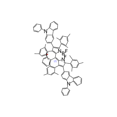 Cc1cc(C)c(C2=N/C(=C(/c3ccccc3F)c3c(-c4c(C)cc(C)cc4C)c(-c4ccc5c(c4)c4ccccc4n5-c4ccccc4)c(-c4c(C)cc(C)cc4C)n3B(F)F)C(c3c(C)cc(C)cc3C)=C2c2ccc3c(c2)c2ccccc2n3-c2ccccc2)c(C)c1